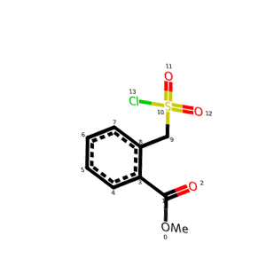 COC(=O)c1ccccc1CS(=O)(=O)Cl